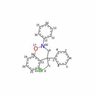 BrCC1(c2ccccc2)CN(c2ccccc2)Oc2ccccc21